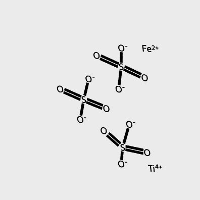 O=S(=O)([O-])[O-].O=S(=O)([O-])[O-].O=S(=O)([O-])[O-].[Fe+2].[Ti+4]